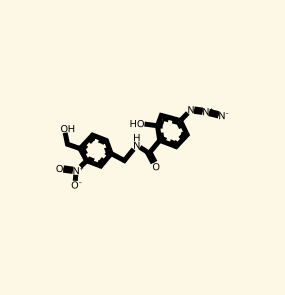 [N-]=[N+]=Nc1ccc(C(=O)NCc2ccc(CO)c([N+](=O)[O-])c2)c(O)c1